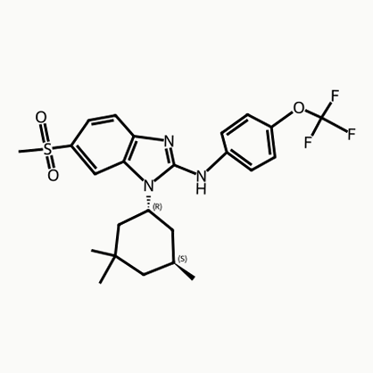 C[C@@H]1C[C@@H](n2c(Nc3ccc(OC(F)(F)F)cc3)nc3ccc(S(C)(=O)=O)cc32)CC(C)(C)C1